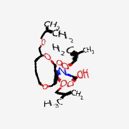 C=C(C)COCC1CCCOCC(OCC(=C)C)(N(OCC(=C)C)C(=O)O)C(=O)O1